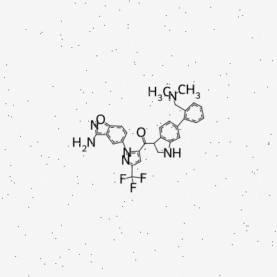 CN(C)Cc1ccccc1-c1ccc2c(c1)NCC2C(=O)c1cc(C(F)(F)F)nn1-c1ccc2onc(N)c2c1